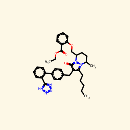 CCCCCc1c(Cc2ccc(-c3ccccc3-c3nnn[nH]3)cc2)c(=O)n2n1C(C)CCC2COc1ccccc1C(=O)OCC